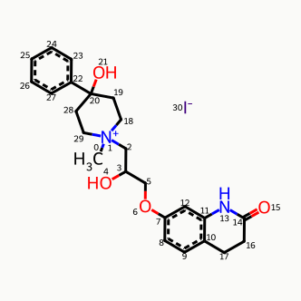 C[N+]1(CC(O)COc2ccc3c(c2)NC(=O)CC3)CCC(O)(c2ccccc2)CC1.[I-]